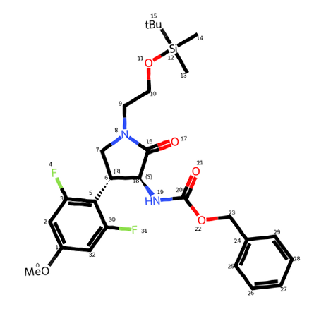 COc1cc(F)c([C@@H]2CN(CCO[Si](C)(C)C(C)(C)C)C(=O)[C@H]2NC(=O)OCc2ccccc2)c(F)c1